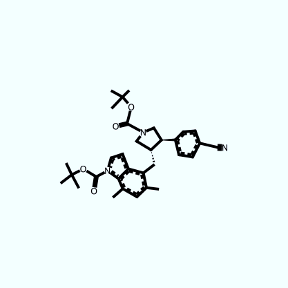 Cc1cc(C)c2c(ccn2C(=O)OC(C)(C)C)c1C[C@@H]1CN(C(=O)OC(C)(C)C)C[C@H]1c1ccc(C#N)cc1